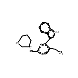 FC(F)(F)Cc1cnc(N[C@H]2CCCNC2)nc1-c1c[nH]c2ccccc12